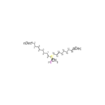 CCCCCCCCCCCCCCCCCC[S+](C)CCCCCCCCCCCCCCCCCC.[I-]